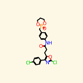 O=C(CCc1oc(Cl)nc1-c1ccc(Cl)cc1)Nc1ccc(CP2(=O)OCCCO2)cc1